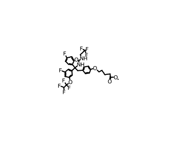 COC(=O)CCCCOc1ccc(CC(NC(=O)NCC(F)(F)F)(c2ccc(F)cc2)c2cc(F)cc(OC(F)(F)C(F)F)c2)cc1